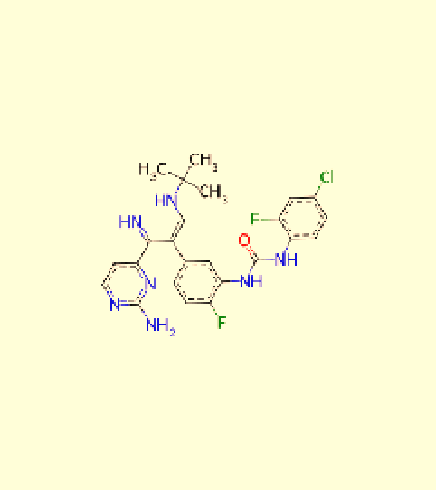 CC(C)(C)N/C=C(\C(=N)c1ccnc(N)n1)c1ccc(F)c(NC(=O)Nc2ccc(Cl)cc2F)c1